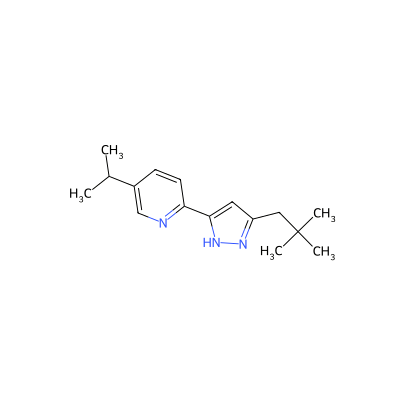 CC(C)c1ccc(-c2cc(CC(C)(C)C)n[nH]2)nc1